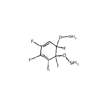 FC1=CC(F)(O[SiH3])C(F)(O[SiH3])[C]([Ti])=C1F